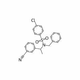 CC(c1cccc(C#N)c1)N(Cc1ccccc1)S(=O)(=O)c1ccc(Cl)cc1